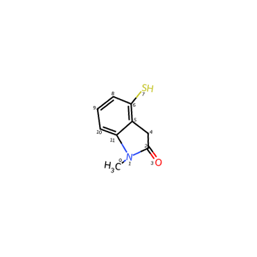 CN1C(=O)Cc2c(S)cccc21